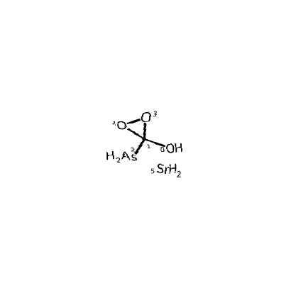 OC1([AsH2])OO1.[SrH2]